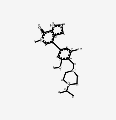 COc1cc(-c2cn(C)c(=O)c3[nH]ncc23)cc(F)c1CN1CCN(C(C)C)CC1